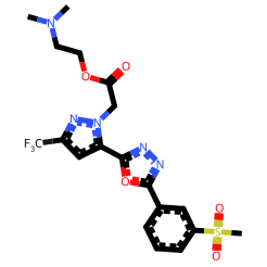 CN(C)CCOC(=O)Cn1nc(C(F)(F)F)cc1-c1nnc(-c2cccc(S(C)(=O)=O)c2)o1